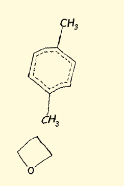 C1COC1.Cc1ccc(C)cc1